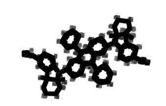 CC(C)(C)c1ccc2c(c1)C1(C)CCCCC1(C)N2c1ccc2c(-c3ccccc3)c3cc(N4c5ccc(C(C)(C)C)cc5C5(C)CCCCC45C)ccc3c(-c3ccccc3)c2c1